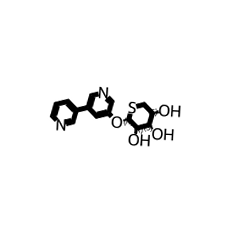 O[C@@H]1[C@@H](O)[C@H](Oc2cncc(-c3cccnc3)c2)SC[C@H]1O